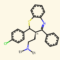 CCN(CC)CC[C@@H]1C(c2ccccc2)=Nc2ccccc2SC1c1ccc(Cl)cc1